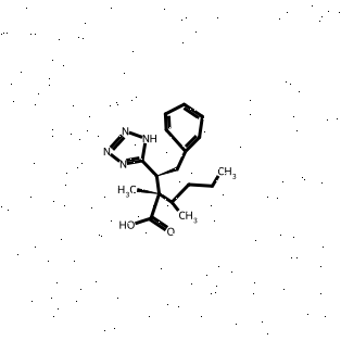 CCCC(C)[C@](C)(C(=O)O)[C@H](Cc1ccccc1)c1nnn[nH]1